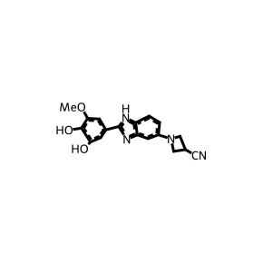 COc1cc(-c2nc3cc(N4CC(C#N)C4)ccc3[nH]2)cc(O)c1O